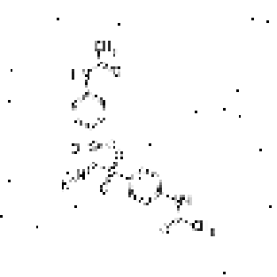 CC(=O)Nc1ccc(S(=O)(=O)C(=[N+]=[N-])S(=O)(=O)c2ccc(NC(C)=O)cc2)cc1